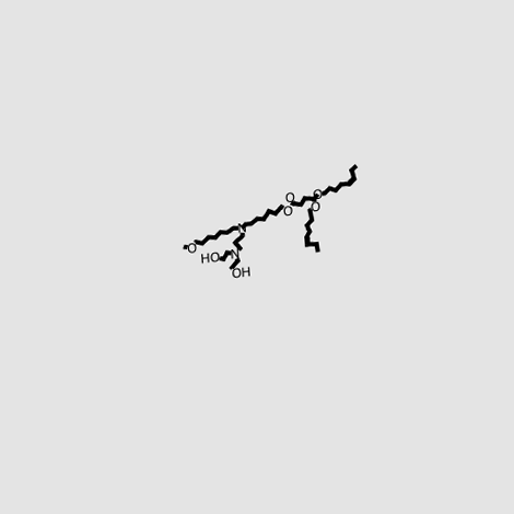 CC/C=C\CCCCOC(CCC(=O)OCCCCCCCN(CCCCCCCOC)CCCN(CCO)CCO)OCCCC/C=C\CC